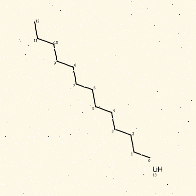 CC[CH]CCCCCCCCCC.[LiH]